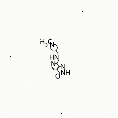 CN1CCC(CNCc2nccc3c(=O)[nH]cnc23)CC1